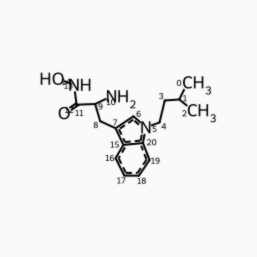 CC(C)CCn1cc(CC(N)C(=O)NO)c2ccccc21